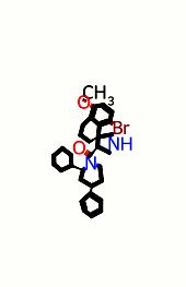 COc1ccc(Br)c2c1CCC[C@]21CNC[C@H]1C(=O)N1CC[C@@H](c2ccccc2)C[C@H]1C1CCCCC1